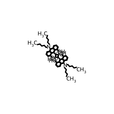 CCCCCCN(CCCCCC)c1c2cccc(O)c2c(C2C(O)C(c3c4c(O)cccc4c(N(CCCCCC)CCCCCC)c4cccc(O)c34)C2O)c2c(O)cccc12